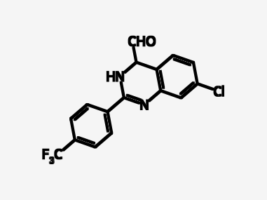 O=CC1NC(c2ccc(C(F)(F)F)cc2)=Nc2cc(Cl)ccc21